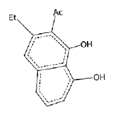 CCc1cc2cccc(O)c2c(O)c1C(C)=O